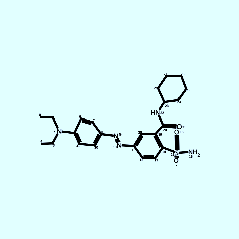 CCN(CC)c1ccc(N=Nc2ccc(S(N)(=O)=O)c(C(=O)NC3CCCCC3)c2)cc1